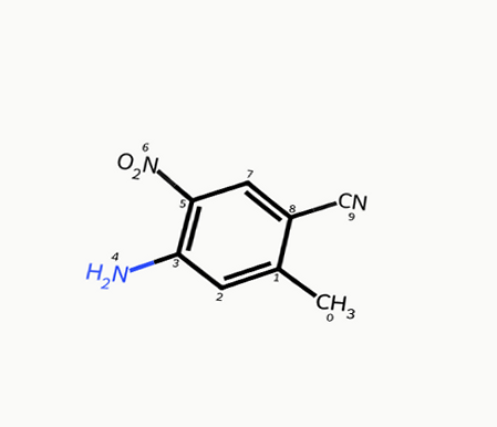 Cc1cc(N)c([N+](=O)[O-])cc1C#N